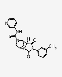 Cc1cccc(N2C(=O)[C@H]3C4CC(CN4C(=S)Nc4cccnc4)N3C2=O)c1